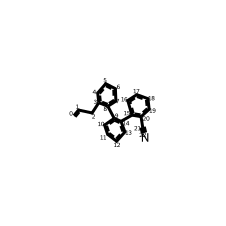 C=CCc1ccccc1-c1ccccc1-c1ccccc1C#N